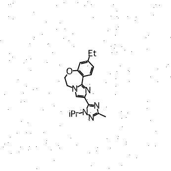 CCc1ccc2c(c1)OCCn1cc(-c3nc(C)nn3C(C)C)nc1-2